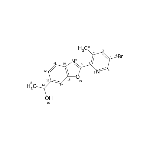 Cc1cc(Br)cnc1-c1nc2ccc(C(C)O)cc2o1